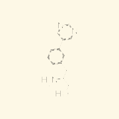 N[C@H](CO)Cc1cccc(-c2cncnc2)c1